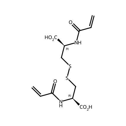 C=CC(=O)N[C@@H](CSSC[C@H](NC(=O)C=C)C(=O)O)C(=O)O